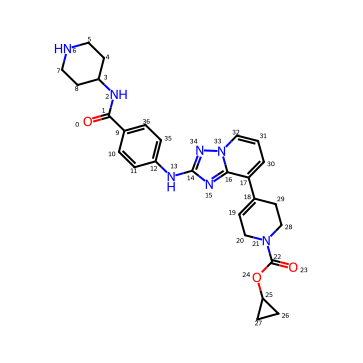 O=C(NC1CCNCC1)c1ccc(Nc2nc3c(C4=CCN(C(=O)OC5CC5)CC4)cccn3n2)cc1